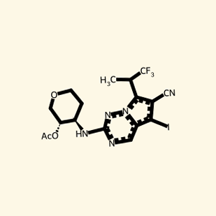 CC(=O)O[C@@H]1COCC[C@H]1Nc1ncc2c(I)c(C#N)c(C(C)C(F)(F)F)n2n1